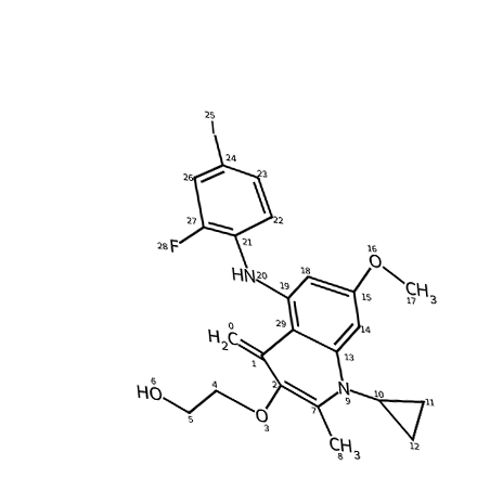 C=C1C(OCCO)=C(C)N(C2CC2)c2cc(OC)cc(Nc3ccc(I)cc3F)c21